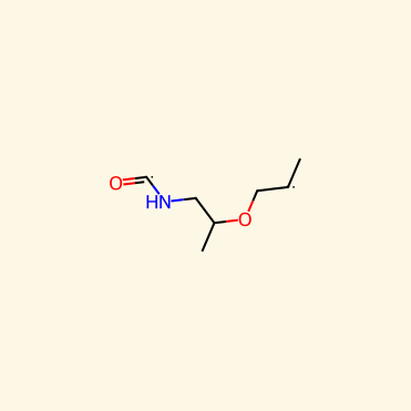 C[CH]COC(C)CN[C]=O